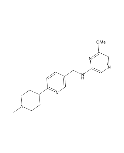 COc1cncc(NCc2ccc(C3CCN(C)CC3)nc2)n1